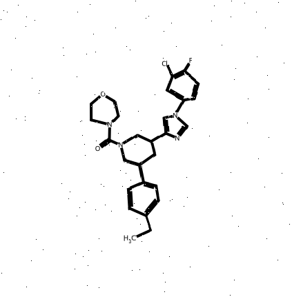 CCc1ccc(C2CC(c3cn(-c4ccc(F)c(Cl)c4)cn3)CN(C(=O)N3CCOCC3)C2)cc1